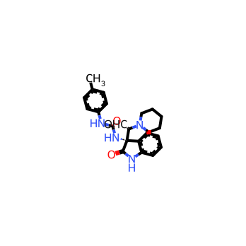 Cc1ccc(NC(=O)N[C@@]2(C(C=O)N3CCCCC3)C(=O)Nc3ccccc32)cc1